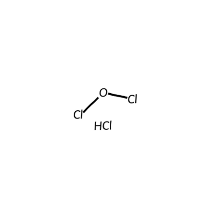 Cl.ClOCl